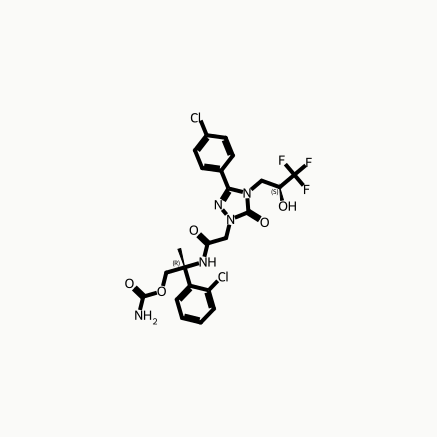 C[C@@](COC(N)=O)(NC(=O)Cn1nc(-c2ccc(Cl)cc2)n(C[C@H](O)C(F)(F)F)c1=O)c1ccccc1Cl